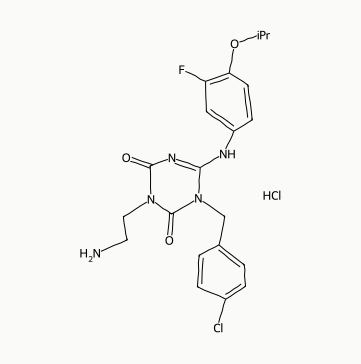 CC(C)Oc1ccc(Nc2nc(=O)n(CCN)c(=O)n2Cc2ccc(Cl)cc2)cc1F.Cl